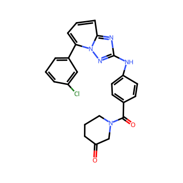 O=C1CCCN(C(=O)c2ccc(Nc3nc4cccc(-c5cccc(Cl)c5)n4n3)cc2)C1